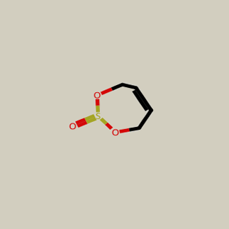 O=S1OCC=CCO1